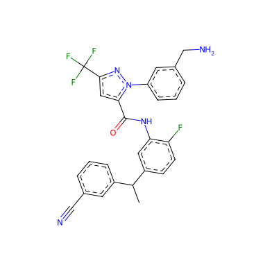 CC(c1cccc(C#N)c1)c1ccc(F)c(NC(=O)c2cc(C(F)(F)F)nn2-c2cccc(CN)c2)c1